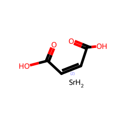 O=C(O)/C=C\C(=O)O.[SrH2]